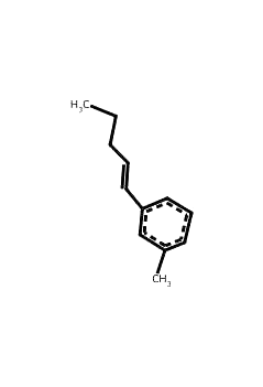 CCCC=Cc1cccc(C)c1